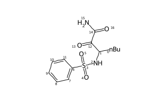 CCCCC(NS(=O)(=O)c1ccccc1)C(=O)C(N)=O